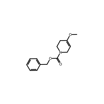 COC1=CCN(C(=O)OCc2ccccc2)CC1